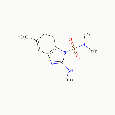 CCCN(CCC)S(=O)(=O)n1c(NC=O)nc2c1CCC(C(=O)O)=C2